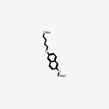 CCCCCCCOc1ccc2cc(OCCCCOC)ccc2c1